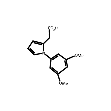 COc1cc(OC)cc(-n2cccc2CC(=O)O)c1